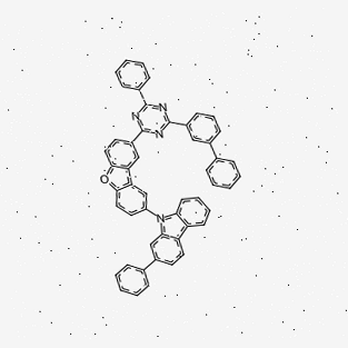 c1ccc(-c2cccc(-c3nc(-c4ccccc4)nc(-c4ccc5oc6ccc(-n7c8ccccc8c8ccc(-c9ccccc9)cc87)cc6c5c4)n3)c2)cc1